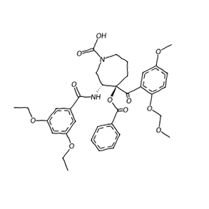 CCOc1cc(OCC)cc(C(=O)N[C@@H]2CN(C(=O)O)CCC[C@]2(OC(=O)c2ccccc2)C(=O)c2cc(OC)ccc2OCOC)c1